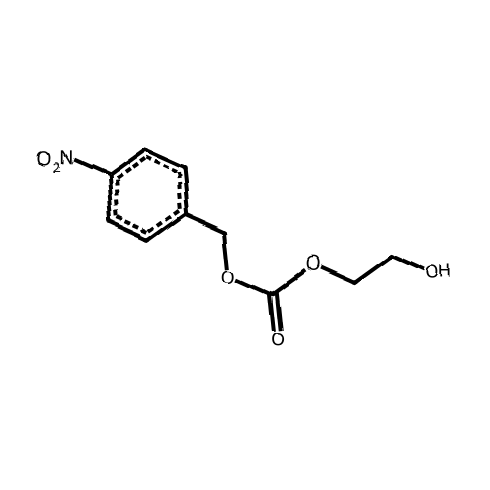 O=C(OCCO)OCc1ccc([N+](=O)[O-])cc1